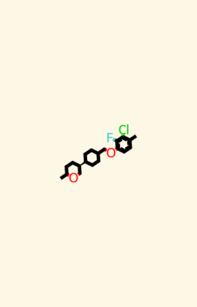 Cc1ccc(OCC2CCC([C@@H]3CCC(C)OC3)CC2)c(F)c1Cl